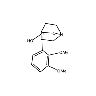 COc1cccc(C2(O)CN3CCC2CC3)c1OC